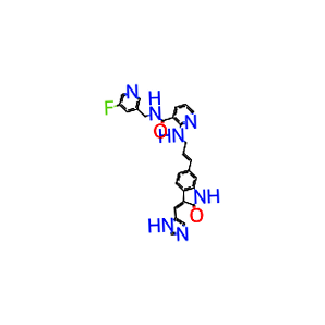 O=C1Nc2cc(/C=C/CNc3ncccc3C(=O)NCc3cncc(F)c3)ccc2/C1=C/c1cnc[nH]1